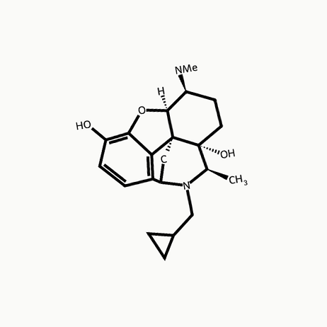 CN[C@H]1CC[C@@]2(O)[C@@H](C)N(CC3CC3)C3C[C@@]24c2c3ccc(O)c2O[C@@H]14